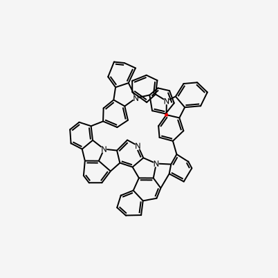 c1ccc(-n2c3ccccc3c3cc(-c4cccc5c6cccc7c8c9c%10c%11ccccc%11cc%11c%12cccc(-c%13ccc%14c(c%13)c%13ccccc%13n%14-c%13ccccc%13)c%12n(c9ncc8n(c45)c67)c%11%10)ccc32)cc1